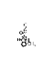 Cc1cccc2c1[C@H]1CC3(C(=O)OCCCl)[C@@H]2N13